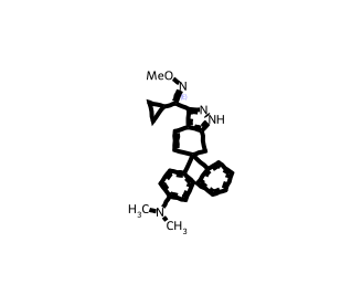 CO/N=C(/c1n[nH]c2c1C=CC(c1ccccc1)(c1ccc(N(C)C)cc1)C2)C1CC1